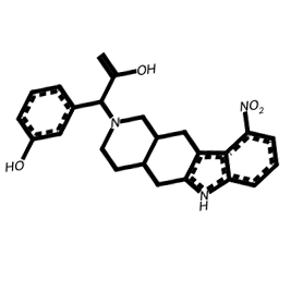 C=C(O)C(c1cccc(O)c1)N1CCC2Cc3[nH]c4cccc([N+](=O)[O-])c4c3CC2C1